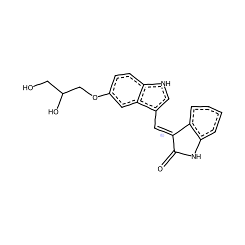 O=C1Nc2ccccc2/C1=C\c1c[nH]c2ccc(OCC(O)CO)cc12